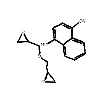 C(OCC1CO1)C1CO1.Oc1ccc(O)c2ccccc12